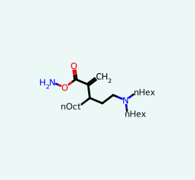 C=C(C(=O)ON)C(CCCCCCCC)CCN(CCCCCC)CCCCCC